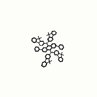 CC1(C)C2=CC(N(c3ccc4c(c3)C(C)(C)c3ccccc3-4)c3c4cc(-c5ccccc5)ccc4c(N(c4ccc5c(c4)-c4ccccc4C5(C)C)c4ccc5c(c4)C(C)(C)c4ccccc4-5)c4cc(-c5ccccc5)ccc34)=CCC2c2ccccc21